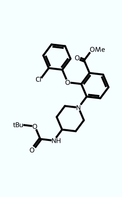 COC(=O)c1cccc(N2CCC(NC(=O)OC(C)(C)C)CC2)c1Oc1ccccc1Cl